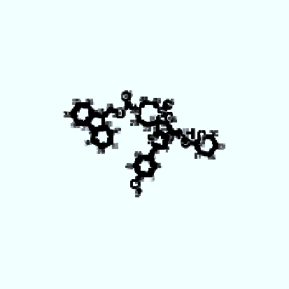 COc1ccc(-c2ccc(C3(CC(=O)NOC4CCCCO4)CCN(C(=O)OCC4c5ccccc5-c5ccccc54)CCS3(=O)=O)s2)cc1